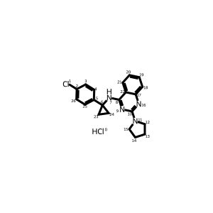 Cl.Clc1ccc(C2(Nc3nc(N4CCCC4)nc4ccccc34)CC2)cc1